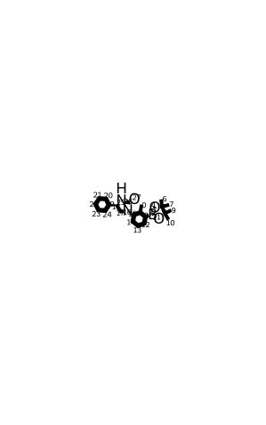 Cc1c(B2OC(C)(C)C(C)(C)O2)cccc1N1C[C@@H](c2ccccc2)NC1=O